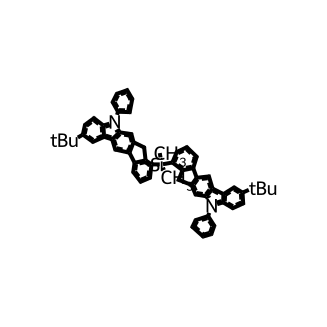 CC(C)(C)c1ccc2c(c1)c1cc3c(cc1n2-c1ccccc1)Cc1c-3cccc1[Si](C)(C)c1cccc2c1Cc1cc3c(cc1-2)c1cc(C(C)(C)C)ccc1n3-c1ccccc1